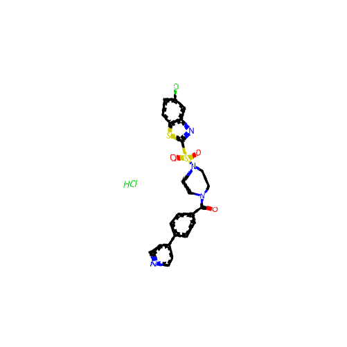 Cl.O=C(c1ccc(-c2ccncc2)cc1)N1CCN(S(=O)(=O)c2nc3cc(Cl)ccc3s2)CC1